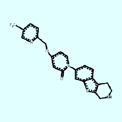 O=c1cc(OCc2ccc(C(F)(F)F)cn2)ccn1-c1ccc2c3c(sc2c1)CNCC3